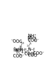 O=C([O-])CCN(CC(=O)[O-])CC(=O)[O-].O=C([O-])CCN(CC(=O)[O-])CC(=O)[O-].[Fe+3].[NH4+].[NH4+].[NH4+]